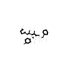 C[C@@H](NC(=O)c1nn(-c2ccc(Cl)cc2Cl)c2c1COC/C2=C\c1ccc(Cl)s1)c1ccccc1